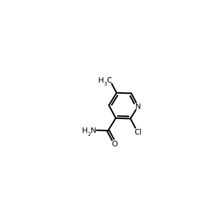 Cc1cnc(Cl)c(C(N)=O)c1